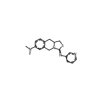 CN(C)c1ccc2c(c1)CN1C(=Nc3cccnc3)SCC1C2